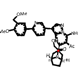 COCc1cc(-c2ccc(-c3cnn4c(N)c(C(C)=O)c([C@H]5C[C@H]6CC[C@@H](C5)N6C(=O)CO)nc34)cn2)ccc1OC